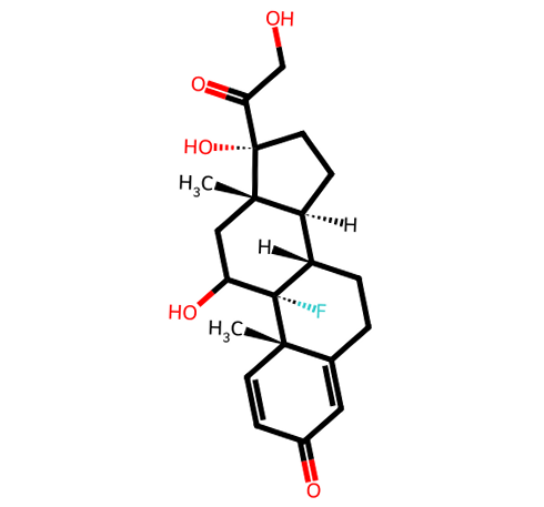 C[C@]12C=CC(=O)C=C1CC[C@H]1[C@@H]3CC[C@](O)(C(=O)CO)[C@@]3(C)CC(O)[C@@]12F